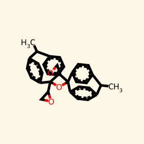 CC1c2ccc(cc2)C(OC2(C3CO3)c3ccc(cc3)C(C)c3ccc2cc3)(C2CO2)c2ccc1cc2